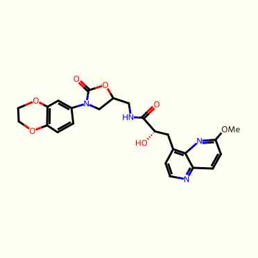 COc1ccc2nccc(C[C@H](O)C(=O)NCC3CN(c4ccc5c(c4)OCCO5)C(=O)O3)c2n1